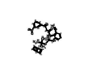 C#Cc1cccc(NC(=O)OC(C)(C)C)c1NC(=O)CC(=O)c1cccc([N+](=O)[O-])c1.c1cc2ccc1-2